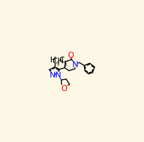 Cc1cnn([C@H]2CCOC2)c1C1CCN(Cc2ccccc2)C(=O)C1C